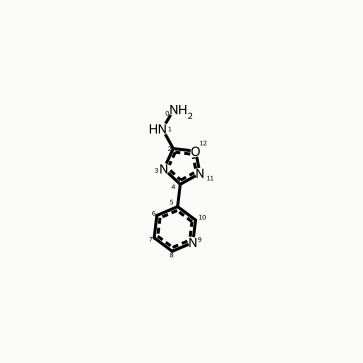 NNc1nc(-c2cccnc2)no1